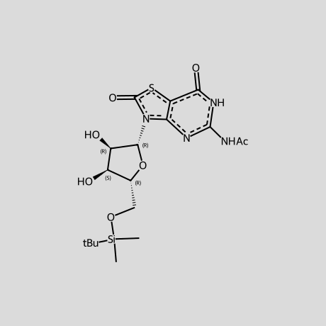 CC(=O)Nc1nc2c(sc(=O)n2[C@@H]2O[C@H](CO[Si](C)(C)C(C)(C)C)[C@@H](O)[C@H]2O)c(=O)[nH]1